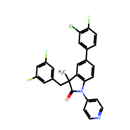 CC1(Cc2cc(F)cc(F)c2)C(=O)N(c2ccncc2)c2ccc(-c3ccc(F)c(Cl)c3)cc21